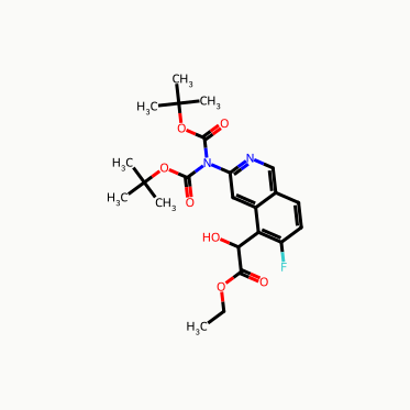 CCOC(=O)C(O)c1c(F)ccc2cnc(N(C(=O)OC(C)(C)C)C(=O)OC(C)(C)C)cc12